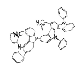 Cc1cc2c(c3ccccc3n2-c2ccccc2)c2c1c1cc(-n3c4cccc(C#N)c4c4c3ccc3c5ccccc5n(-c5ccccc5)c34)ccc1n2-c1ccccc1